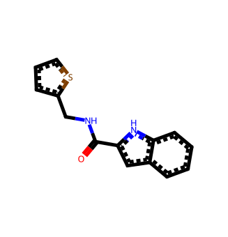 O=C(NCc1cccs1)c1cc2ccccc2[nH]1